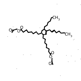 CCCCC/C=C/CC1=CC(CCCCCCCC(=O)OCC2CO2)C(CCCCCCCC(=O)OCC2CO2)CC1CCCCCC